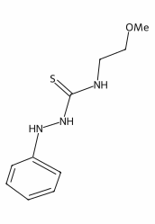 COCCNC(=S)NNc1ccccc1